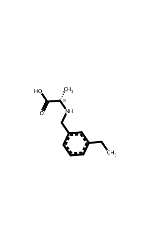 CCc1cccc(CN[C@@H](C)C(=O)O)c1